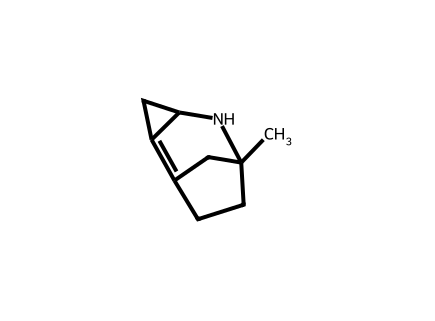 CC12CCC(=C3CC3N1)C2